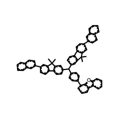 CC1(C)c2cc(-c3ccc4ccccc4c3)ccc2-c2ccc(C(c3ccc(-c4cccc5c4oc4ccccc45)cc3)c3ccc4c(c3)C(C)(C)c3cc(-c5ccc6ccccc6c5)ccc3-4)cc21